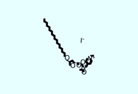 CCCCCCCCCCCCCCCCCCOC[C@@H]1CO[C@@H](COC(=O)N(Cc2cc[n+](CC)cc2)C(C)=O)C1.[I-]